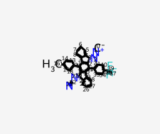 [C-]#[N+]/N=c1\c2ccccc2c2c(-c3ccc(C)cc3)c3/c(=N/C#N)c4ccccc4c3c(-c3ccc(C(F)(F)F)cc3)c12